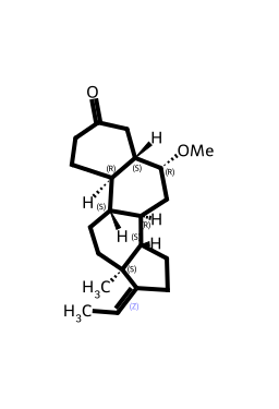 C/C=C1/CC[C@H]2[C@@H]3C[C@@H](OC)[C@H]4CC(=O)CC[C@@H]4[C@H]3CC[C@]12C